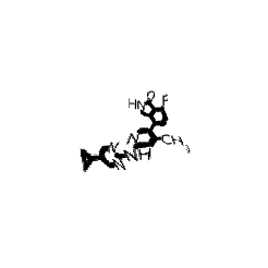 Cc1cc(Nc2ncc(C3CC3)cn2)ncc1-c1ccc(F)c2c1CNC2=O